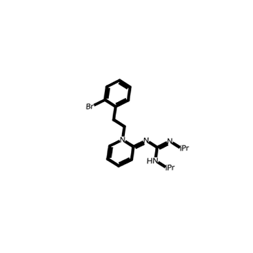 CC(C)N=C(N=c1ccccn1CCc1ccccc1Br)NC(C)C